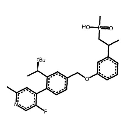 Cc1cc(-c2ccc(COc3cccc(C(C)CP(C)(=O)O)c3)cc2[C@@H](C)C(C)(C)C)c(F)cn1